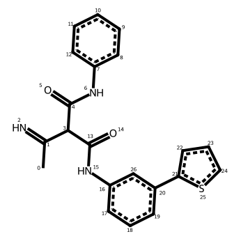 CC(=N)C(C(=O)Nc1ccccc1)C(=O)Nc1cccc(-c2cccs2)c1